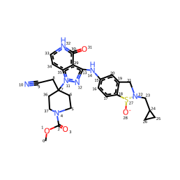 COC(=O)N1CCC(CC#N)(n2nc(Nc3ccc4c(c3)CN(CC3CC3)[S+]4[O-])c3c(=O)[nH]ccc32)CC1